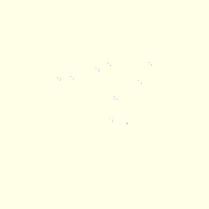 C[C@@H]1COCCN1c1cc(-c2ccnn2C)c2[nH]nc(-c3cnc[nH]3)c2n1